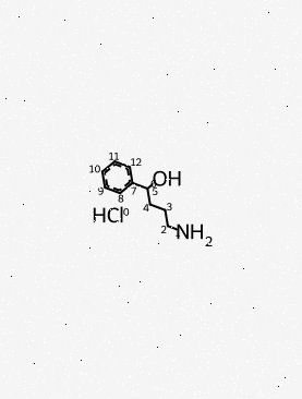 Cl.NCCCC(O)c1ccccc1